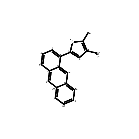 Cc1sc(-c2cccc3cc4ccccc4cc23)cc1Br